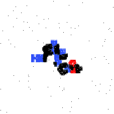 CN(c1ccnc(-c2cnc3ccc(C4CN4)cn23)n1)[C@@H]1CCCN(C(=O)OC(C)(C)C)C1